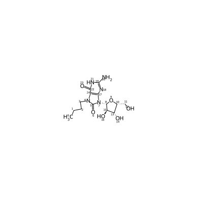 CCCCn1c(=O)n([C@@H]2O[C@H](CO)[C@H](O)[C@H]2O)c2nc(N)[nH]c(=O)c21